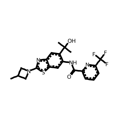 CC1CN(c2nc3cc(C(C)(C)O)c(NC(=O)c4cccc(C(F)(F)F)n4)cc3s2)C1